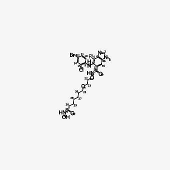 Cn1cnc2c(F)c(Nc3ccc(Br)cc3Cl)c(C(=O)NOCCOCCCCCCC(=O)NO)cc21